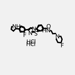 Cl.Cl.O=C(NCCCN1CCC(F)CC1)c1ccc2c(c1)sc1nc(-c3ccc(C4CCCN4)cc3F)cn12